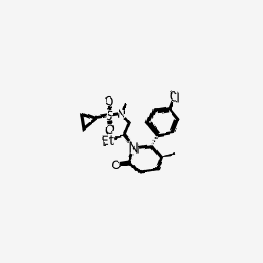 CC[C@@H](CN(C)S(=O)(=O)C1CC1)N1C(=O)CC[C@H](C)[C@H]1c1ccc(Cl)cc1